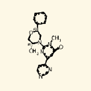 C[C@@H]1CO[C@@H](c2ccccc2)CN1c1nc(-c2ccncn2)cc(=O)n1C